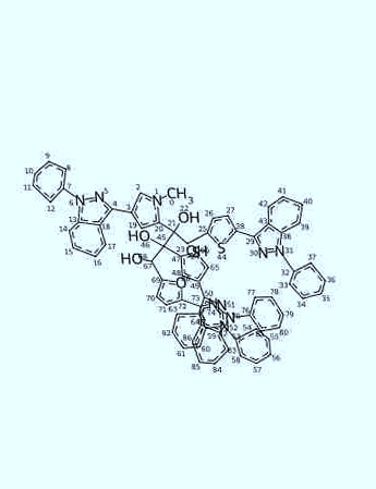 Cn1cc(-c2nn(-c3ccccc3)c3ccccc23)cc1C(O)(C(O)c1ccc(-c2nn(-c3ccccc3)c3ccccc23)s1)C(O)(c1cc(-c2nn(-c3ccccc3)c3ccccc23)cs1)C(O)c1ccc(-c2nn(-c3ccccc3)c3ccccc23)o1